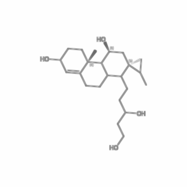 CC1C[C@]12C[C@H](O)C1C(CCC3=CC(O)CC[C@@]31C)C2CCC(O)CCO